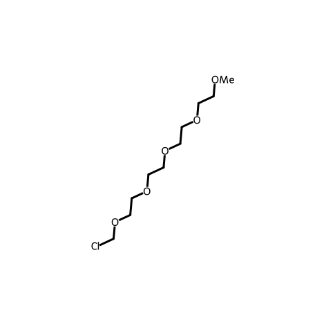 COCCOCCOCCOCCOCCl